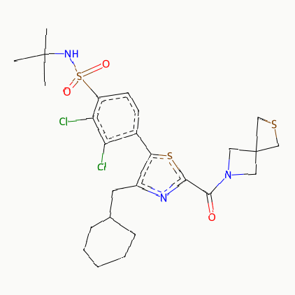 CC(C)(C)NS(=O)(=O)c1ccc(-c2sc(C(=O)N3CC4(CSC4)C3)nc2CC2CCCCC2)c(Cl)c1Cl